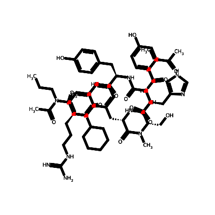 CCCN(C(C)=O)C(=O)[C@H](CCCNC(=N)N)N(C(=O)[C@H](C)NC(=O)[C@@H](Cc1ccc(O)cc1)NC(=O)[C@H](Cc1ccc(O)cc1)NC(=O)[C@H](CO)N(C)C(=O)[C@H](Cc1cccc2ccccc12)NC(=O)[C@H](Cc1c[nH]cn1)NC(=O)CN(C)C(C)=O)C1CCCCC1